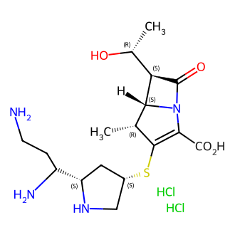 C[C@@H](O)[C@H]1C(=O)N2C(C(=O)O)=C(S[C@@H]3CN[C@H](C(N)CCN)C3)[C@H](C)[C@H]12.Cl.Cl